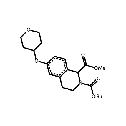 COC(=O)C1c2ccc(OC3CCOCC3)cc2CCN1C(=O)OCC(C)C